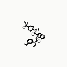 CCc1cccc(N(CC)C(=O)Cn2c(C(=O)NC3CCC(C(=O)OC)CC3)cc3sccc32)c1